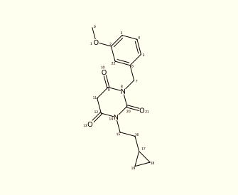 COc1cccc(CN2C(=O)CC(=O)N(CCC3CC3)C2=O)c1